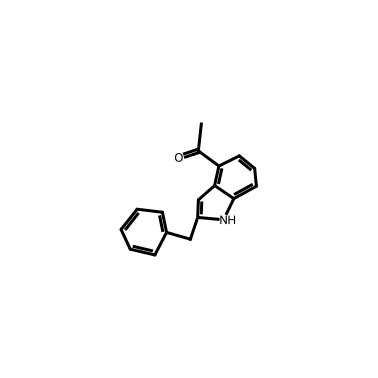 CC(=O)c1cccc2[nH]c(Cc3ccccc3)cc12